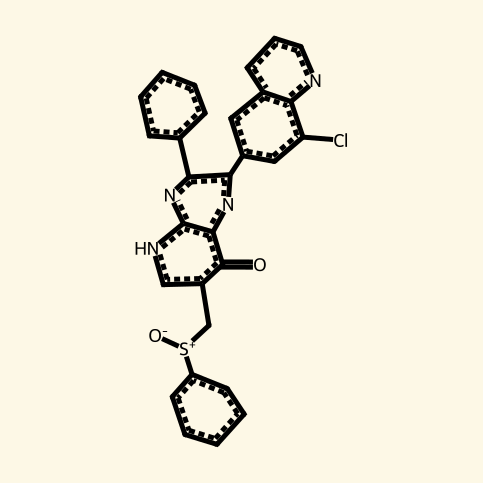 O=c1c(C[S+]([O-])c2ccccc2)c[nH]c2nc(-c3ccccc3)c(-c3cc(Cl)c4ncccc4c3)nc12